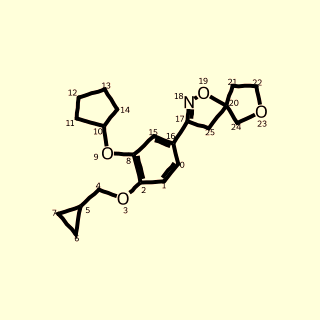 c1cc(OCC2CC2)c(OC2CCCC2)cc1C1=NOC2(CCOC2)C1